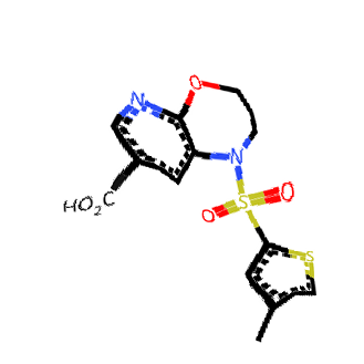 Cc1csc(S(=O)(=O)N2CCOc3ncc(C(=O)O)cc32)c1